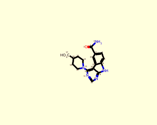 NC(=O)c1ccc2[nH]c3ncnc(N4CCC(C(=O)O)CC4)c3c2c1